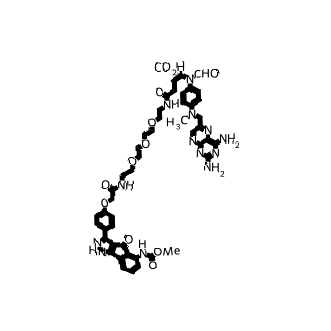 COC(=O)Nc1cccc2c1C(=O)c1c(-c3ccc(OCC(=O)NCCOCCOCCOCCNC(=O)CC[C@@H](C(=O)O)N(C=O)c4ccc(N(C)Cc5cnc6nc(N)nc(N)c6n5)cc4)cc3)n[nH]c1-2